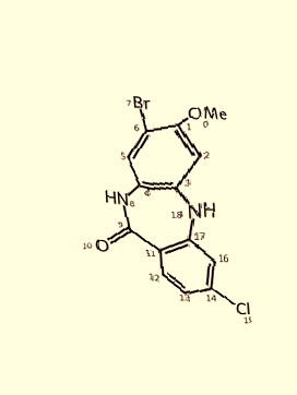 COc1cc2c(cc1Br)NC(=O)c1ccc(Cl)cc1N2